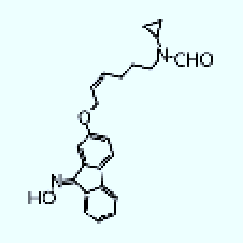 O=CN(CCC/C=C\COc1ccc2c(c1)/C(=N/O)c1ccccc1-2)C1CC1